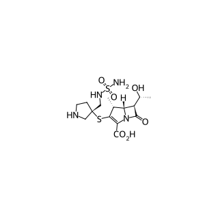 C[C@@H](O)[C@H]1C(=O)N2C(C(=O)O)=C(S[C@@]3(CNS(N)(=O)=O)CCNC3)[C@H](C)[C@H]12